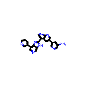 Nc1cncc(-c2cnc3[nH]cc(-c4nc5c(-c6cccnc6)cncc5[nH]4)c3c2)c1